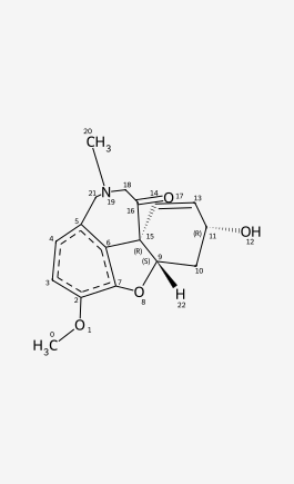 COc1ccc2c3c1O[C@H]1C[C@@H](O)C=C[C@@]31C(=O)CN(C)C2